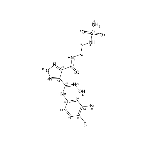 NS(=O)(=O)NCCNC(=O)c1nonc1C(=NO)Nc1ccc(F)c(Br)c1